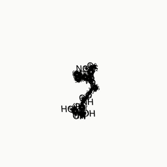 C=C(F)C(=O)N1CCN(c2nc(OC[C@@H]3CCCN3CCCOCCC(=O)NCc3ccc(-n4c(O)nnc4-c4cc(C(C)C)c(O)cc4O)cc3)nc3c2CCN(c2cccc4cccc(Cl)c24)C3)C[C@@H]1CC#N